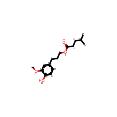 COc1cc(CCCOC(=O)CCC(C)C)ccc1O